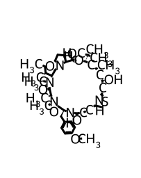 CC[C@H](C)[C@H]1C(=O)N2CCC[C@@H]2C(=O)O[C@H](C(C)(C)C)C[C@@H](C)C[C@H](O)CC2=N[C@@H](CCC(=O)N[C@@H](Cc3ccc(OC)cc3)C(=O)N(C)[C@@H](C)C(=O)N1C)CS2